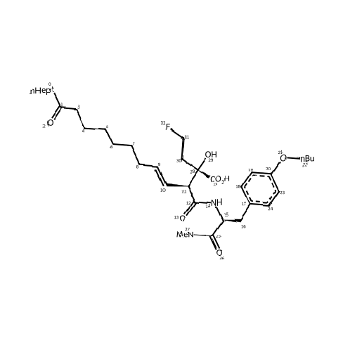 CCCCCCCC(=O)CCCCCCC=C[C@H](C(=O)N[C@@H](Cc1ccc(OCCCC)cc1)C(=O)NC)[C@@](O)(CCF)C(=O)O